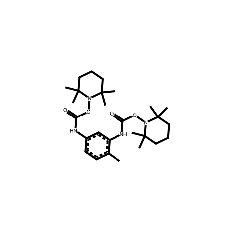 Cc1ccc(NC(=O)ON2C(C)(C)CCCC2(C)C)cc1NC(=O)ON1C(C)(C)CCCC1(C)C